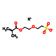 C=C(C)C(=O)OCCOCCS(=O)(=O)[O-].[K+]